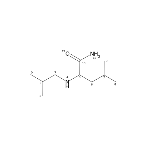 CC(C)CNC(CC(C)C)C(N)=O